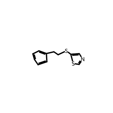 c1ccc(CCSc2cncs2)cc1